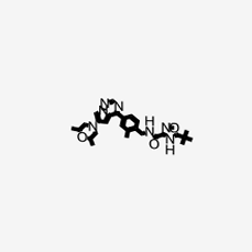 Cc1cc(-c2ncnn3cc(N4CC(C)OC(C)C4)cc23)ccc1CNC(=O)C1=NOC(C(C)(C)C)N1